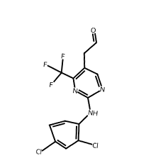 O=CCc1cnc(Nc2ccc(Cl)cc2Cl)nc1C(F)(F)F